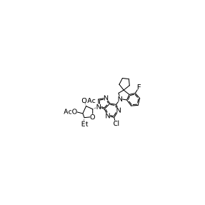 CC[C@H]1O[C@@H](n2cnc3c(N4CC5(CCCC5)c5c(F)cccc54)nc(Cl)nc32)[C@@H](OC(C)=O)C1OC(C)=O